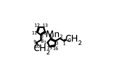 C=CCC1=[C]([Mn][C]2=C(CC=C)C=CC2)CC=C1